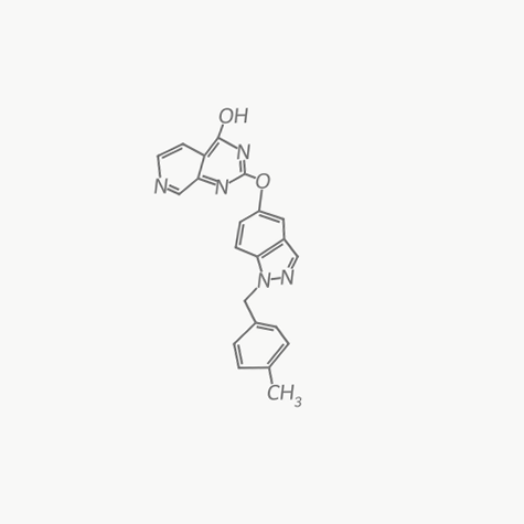 Cc1ccc(Cn2ncc3cc(Oc4nc(O)c5ccncc5n4)ccc32)cc1